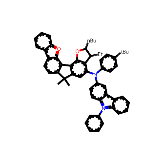 CCCCC1Oc2c3c(cc(N(c4ccc(C(C)(C)C)cc4)c4ccc5c(c4)c4ccccc4n5-c4ccccc4)c2C1CC)C(C)(C)c1ccc2c(oc4ccccc42)c1-3